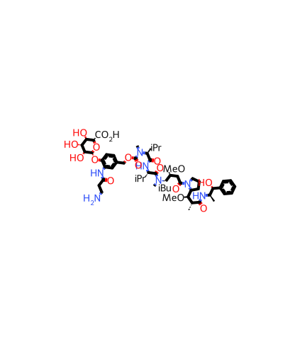 CC[C@H](C)[C@@H]([C@@H](CC(=O)N1CCCC1[C@H](OC)[C@@H](C)C(=O)N[C@H](C)[C@@H](O)c1ccccc1)OC)N(C)C(=O)[C@@H](NC(=O)[C@H](C(C)C)N(C)C(=O)OCc1ccc(O[C@H]2O[C@@H](C(=O)O)[C@H](O)[C@@H](O)[C@@H]2O)c(NC(=O)CCN)c1)C(C)C